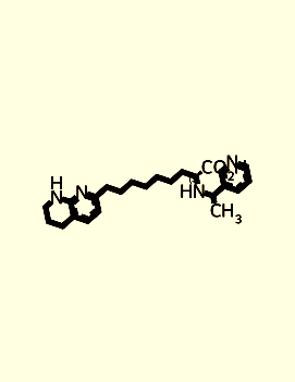 CC(N[C@@H](CCCCCCCc1ccc2c(n1)NCCC2)C(=O)O)c1cccnc1